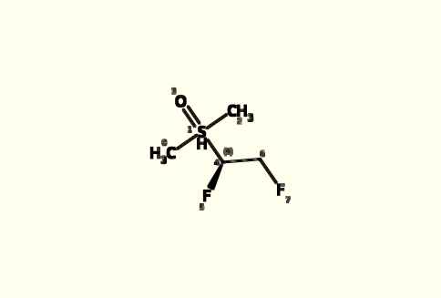 C[SH](C)(=O)[C@H](F)CF